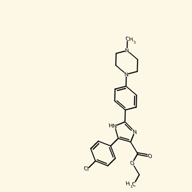 CCOC(=O)c1nc(-c2ccc(N3CCN(C)CC3)cc2)[nH]c1-c1ccc(Cl)cc1